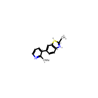 COc1ncccc1-c1ccc2nc(C)sc2c1